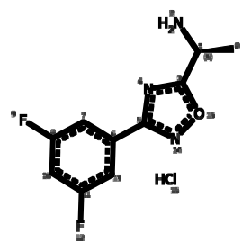 C[C@H](N)c1nc(-c2cc(F)cc(F)c2)no1.Cl